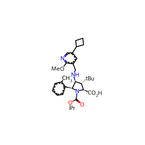 COc1ncc(C2CCC2)cc1CN[C@H]1[C@H](C(C)(C)C)[C@@H](C(=O)O)N(C(=O)OC(C)C)[C@H]1c1ccccc1C